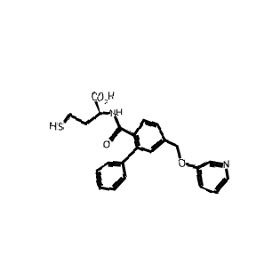 O=C(N[C@@H](CCS)C(=O)O)c1ccc(COc2cccnc2)cc1-c1ccccc1